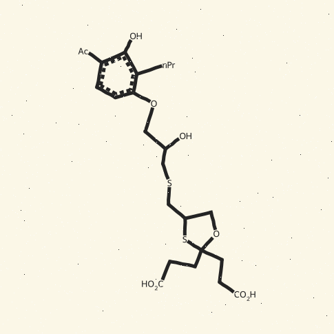 CCCc1c(OCC(O)CSCC2COC(CCC(=O)O)(CCC(=O)O)S2)ccc(C(C)=O)c1O